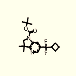 CC(C)(C)OC(=O)N1CC(C)(C)c2ncc(C(F)(F)C3CCC3)cc21